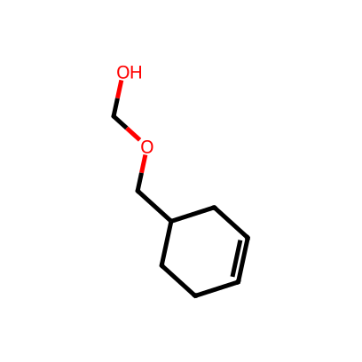 OCOCC1CC=CCC1